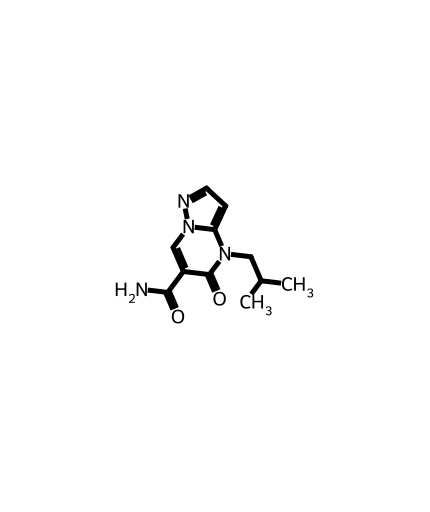 CC(C)Cn1c(=O)c(C(N)=O)cn2nccc12